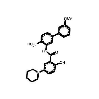 COc1cccc(-c2ccc(C(=O)O)c(NC(=O)c3cc(N4CCCCC4)ccc3O)c2)c1